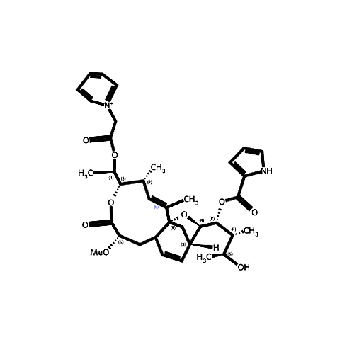 CO[C@H]1CC2C=C[C@@H]3C[C@]2(O[C@H]3[C@H](OC(=O)c2ccc[nH]2)[C@H](C)[C@H](C)O)/C(C)=C/[C@@H](C)[C@@H]([C@@H](C)OC(=O)C[n+]2ccccc2)OC1=O